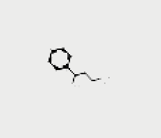 CC(=O)OCCC(OC(C)=O)c1ccccc1